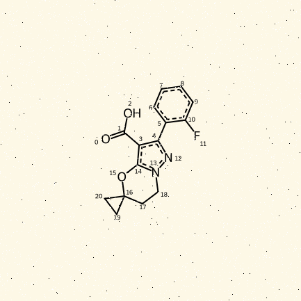 O=C(O)c1c(-c2ccccc2F)nn2c1OC1(CC2)CC1